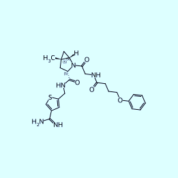 C[C@@]12C[C@@H]1N(C(=O)CNC(=O)CCCOc1ccccc1)[C@H](C(=O)NCc1cc(C(=N)N)cs1)C2